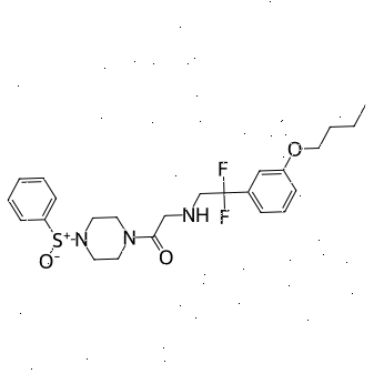 CCCCOc1cccc(C(F)(F)CNCC(=O)N2CCN([S+]([O-])c3ccccc3)CC2)c1